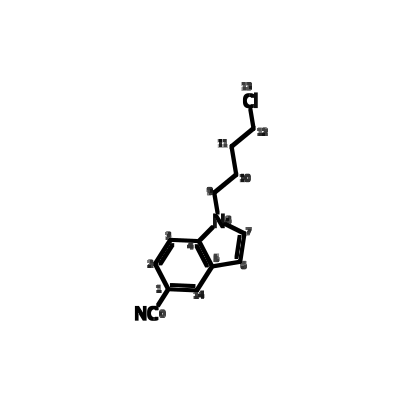 N#Cc1ccc2c(ccn2CCCCCl)c1